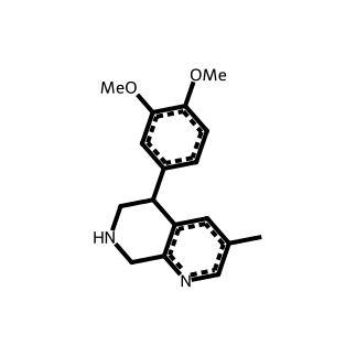 COc1ccc(C2CNCc3ncc(C)cc32)cc1OC